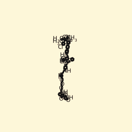 Cc1c(S(C)(=O)=O)c(-c2cc(F)cc(N3CCN(c4ccc(NSc5ccc(N[C@H](CCN6CCC(NCCCn7cc(COCCOCCOCCNc8cccc9c8C(=O)N(C8CCC(=O)NC8=O)C9=O)nn7)CC6)CSc6ccccc6)c(S(=O)(=O)C(F)(F)F)c5)cc4)CC3)c2)c(-c2ccc(Cl)cc2)n1C(C)C